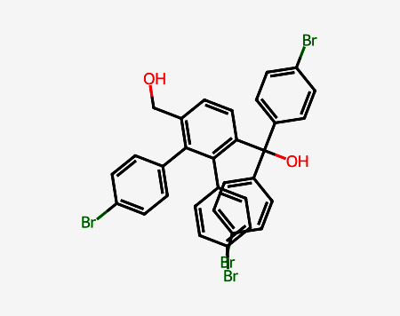 OCc1ccc(C(O)(c2ccc(Br)cc2)c2ccc(Br)cc2)c(-c2ccc(Br)cc2)c1-c1ccc(Br)cc1